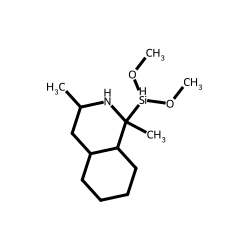 CO[SiH](OC)C1(C)NC(C)CC2CCCCC21